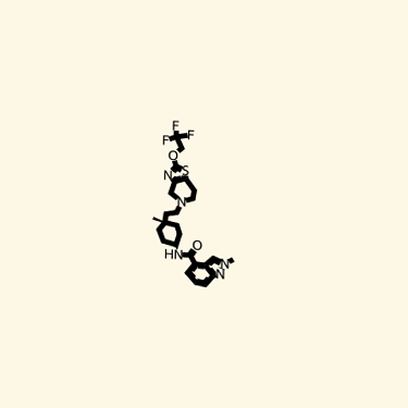 Cn1cc2c(C(=O)N[C@H]3CC[C@@](C)(CCN4CCc5sc(OCC(F)(F)F)nc5C4)CC3)cccc2n1